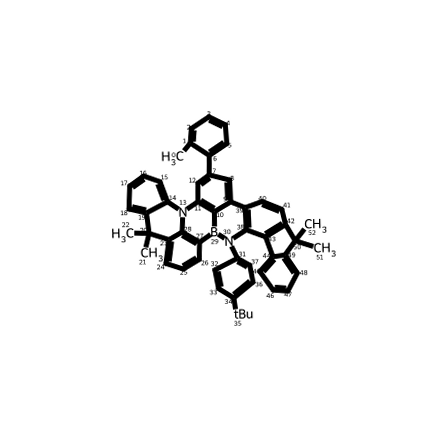 Cc1ccccc1-c1cc2c3c(c1)N1c4ccccc4C(C)(C)c4cccc(c41)B3N(c1ccc(C(C)(C)C)cc1)c1c-2ccc2c1-c1ccccc1C2(C)C